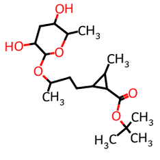 CC(CCC1C(C)C1C(=O)OC(C)(C)C)OC1OC(C)C(O)CC1O